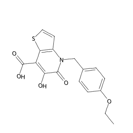 CCOc1ccc(Cn2c(=O)c(O)c(C(=O)O)c3sccc32)cc1